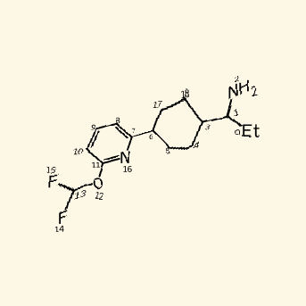 CCC(N)C1CCC(c2cccc(OC(F)F)n2)CC1